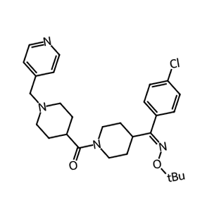 CC(C)(C)ON=C(c1ccc(Cl)cc1)C1CCN(C(=O)C2CCN(Cc3ccncc3)CC2)CC1